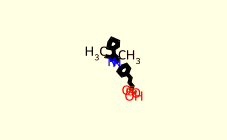 CCc1nn(-c2ccc(CCCS(=O)(=O)O)cc2)c(C)c1-c1ccccc1